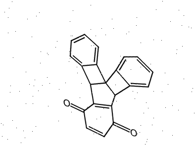 O=C1C=CC(=O)C2=C1C1c3ccccc3C13c1ccccc1C23